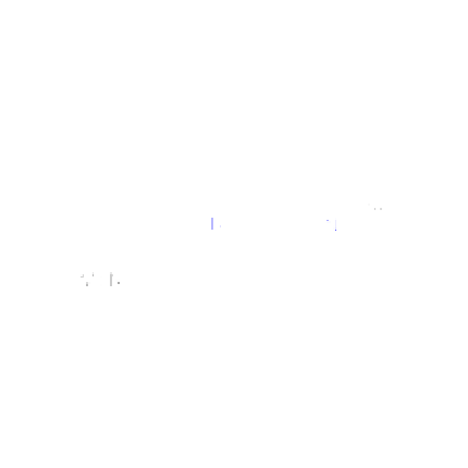 CNCCN(C)C1CCN(C(C)=O)C1